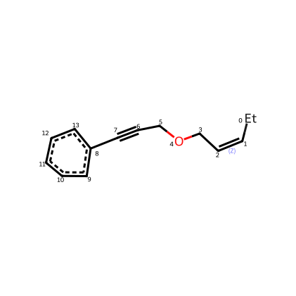 CC/C=C\COCC#Cc1ccccc1